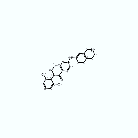 O=C1c2cnc(Nc3ccc4c(c3)CNCC4)nc2OCN1c1c(Cl)cccc1Cl